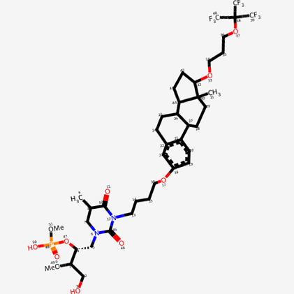 COC(CO)[C@@H](CN1CC(C)C(=O)N(CCCCOc2ccc3c(c2)CCC2C3CCC3(C)C(OCCCOC(C(F)(F)F)(C(F)(F)F)C(F)(F)F)CCC23)C1=O)OP(=O)(O)OC